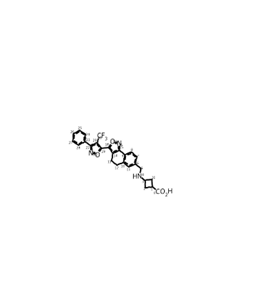 O=C(O)C1CC(NCc2ccc3c(c2)CCc2c-3noc2-c2onc(-c3ccccc3)c2C(F)(F)F)C1